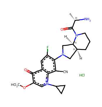 C[C@H](N)C(=O)N1CCC[C@H]2CN(c3c(F)cc4c(=O)c(OC(=O)O)cn(C5CC5)c4c3C#N)C[C@H]21.Cl